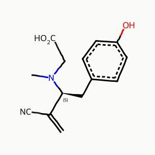 C=C(C#N)[C@H](Cc1ccc(O)cc1)N(C)CC(=O)O